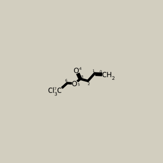 C=CCC(=O)OCC(Cl)(Cl)Cl